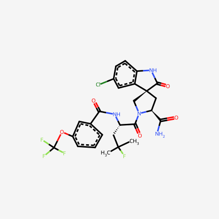 CC(C)(F)C[C@H](NC(=O)c1cccc(OC(F)(F)F)c1)C(=O)N1C[C@]2(C[C@H]1C(N)=O)C(=O)Nc1ccc(Cl)cc12